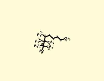 CCCCCC(C)C(C)(C)C(C)(C)O